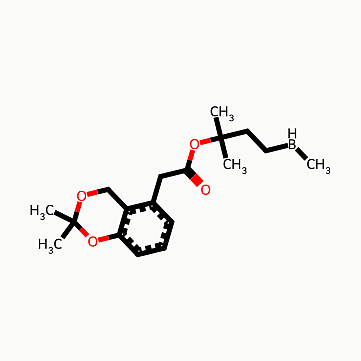 CBCCC(C)(C)OC(=O)Cc1cccc2c1COC(C)(C)O2